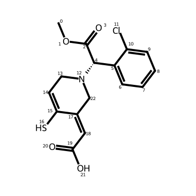 COC(=O)[C@H](c1ccccc1Cl)N1CC=C(S)/C(=C\C(=O)O)C1